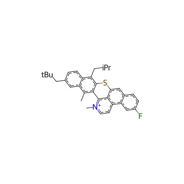 Cc1c2c(c(CC(C)C)c3ccc(CC(C)(C)C)cc13)Sc1cc3ccc(F)cc3c3cc[n+](C)c-2c13